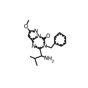 COc1cc2nc(C(N)C(C)C)n(Cc3ccccc3)c(=O)n2n1